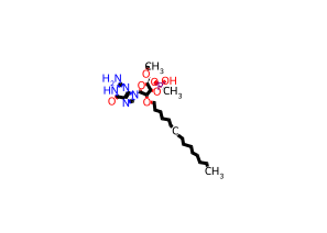 CCCCCCCCCCCCCCCCOC1C(OP(C)(=O)O)[C@@H](COC)O[C@H]1n1cnc2c(=O)[nH]c(N)nc21